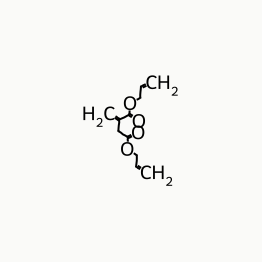 C=CCOC(=O)CC(=C)C(=O)OCC=C